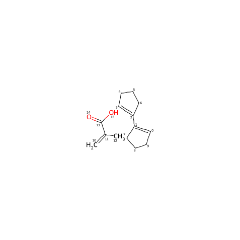 C1=C(C2=CCCC2)CCC1.C=C(C)C(=O)O